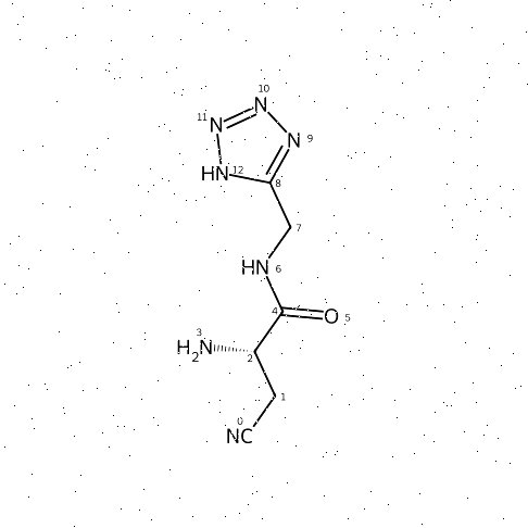 N#CC[C@H](N)C(=O)NCc1nnn[nH]1